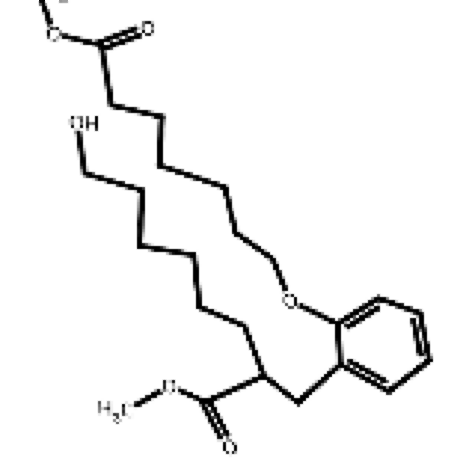 COC(=O)CCCCCCOc1ccccc1CC(CCCCCCO)C(=O)OC